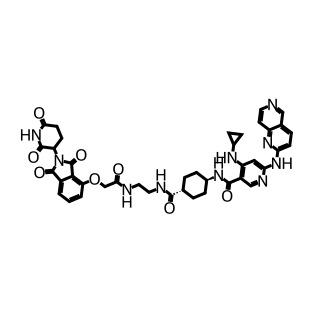 O=C(COc1cccc2c1C(=O)N(C1CCC(=O)NC1=O)C2=O)NCCNC(=O)[C@H]1CC[C@H](NC(=O)c2cnc(Nc3ccc4cnccc4n3)cc2NC2CC2)CC1